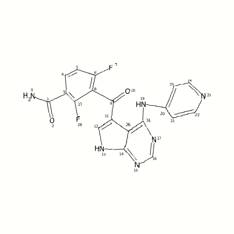 NC(=O)c1ccc(F)c(C(=O)c2c[nH]c3ncnc(Nc4ccncc4)c23)c1F